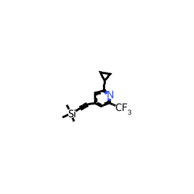 C[Si](C)(C)C#Cc1cc(C2CC2)nc(C(F)(F)F)c1